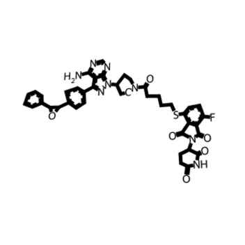 Nc1ncnc2c1c(-c1ccc(C3OC3c3ccccc3)cc1)nn2C1CCN(C(=O)CCCCSc2ccc(F)c3c2C(=O)N(C2CCC(=O)NC2=O)C3=O)CC1